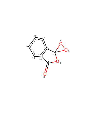 O=C1OC2(OO2)c2ccccc21